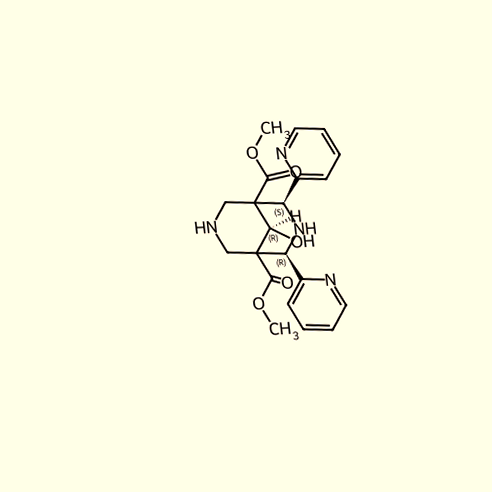 COC(=O)C12CNCC(C(=O)OC)([C@@H]1O)[C@H](c1ccccn1)N[C@@H]2c1ccccn1